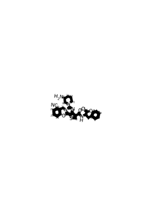 COC(=O)C(Cc1ccccc1)NC(=O)c1csc2c(=O)n(Cc3ccccc3C#N)c(N3CCC[C@@H](N)C3)nc12